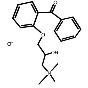 C[N+](C)(C)CC(O)COc1ccccc1C(=O)c1ccccc1.[Cl-]